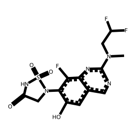 CN(CC(F)F)c1ncc2cc(O)c(N3CC(=O)NS3(=O)=O)c(F)c2n1